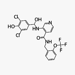 O=C(NCc1ccccc1OC(F)(F)F)c1ccncc1NC(O)c1cc(Cl)c(O)c(Cl)c1